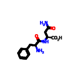 NC(=O)C[C@H](NC(=O)[C@@H](N)Cc1ccccc1)C(=O)O